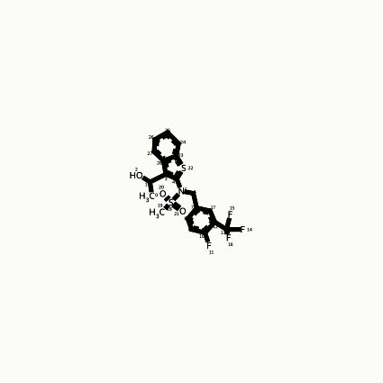 CC(O)c1c(N(Cc2ccc(F)c(C(F)(F)F)c2)S(C)(=O)=O)sc2ccccc12